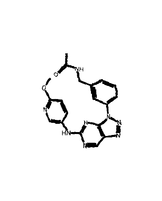 COc1ccc(Nc2ncc3nnn(-c4cccc(CNC(C)=O)c4)c3n2)cn1